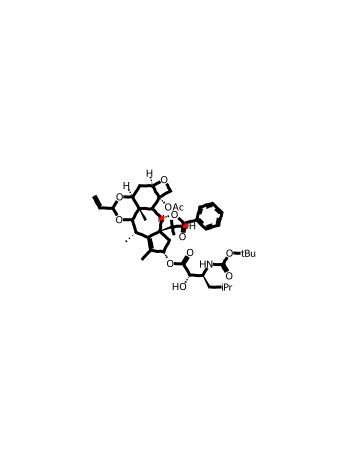 C=CC1OC2[C@@H](C)C3=C(C)[C@@H](OC(=O)[C@@H](O)[C@H](CC(C)C)NC(=O)OC(C)(C)C)C[C@@]3(C(C)(C)O)[C@@H](OC(=O)c3ccccc3)[C@@H]3[C@]4(OC(C)=O)CO[C@@H]4C[C@H](O1)[C@@]23C